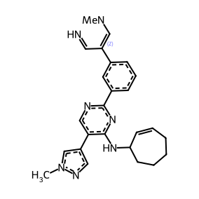 CN/C=C(\C=N)c1cccc(-c2ncc(-c3cnn(C)c3)c(NC3C=CCCCC3)n2)c1